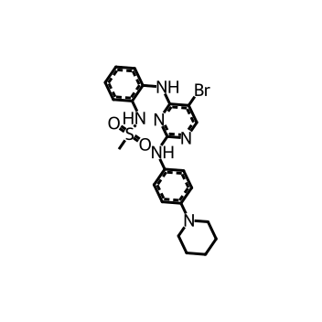 CS(=O)(=O)Nc1ccccc1Nc1nc(Nc2ccc(N3CCCCC3)cc2)ncc1Br